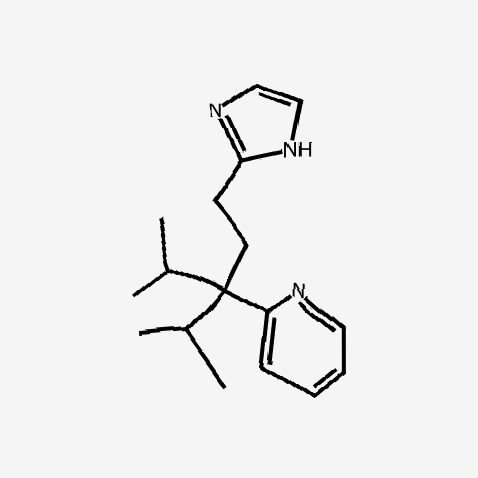 CC(C)C(CCc1ncc[nH]1)(c1ccccn1)C(C)C